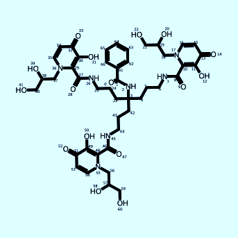 O=C(NC(CCCNC(=O)c1c(O)c(=O)ccn1CC(O)CO)(CCCNC(=O)c1c(O)c(=O)ccn1CC(O)CO)CCCNC(=O)c1c(O)c(=O)ccn1CC(O)CO)c1ccccc1